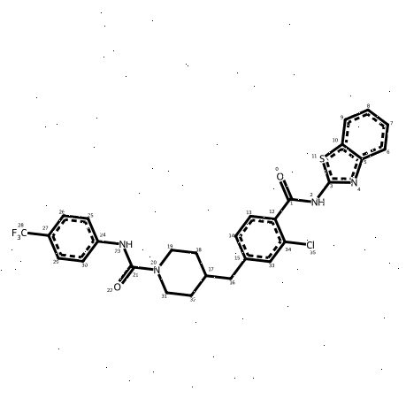 O=C(Nc1nc2ccccc2s1)c1ccc(CC2CCN(C(=O)Nc3ccc(C(F)(F)F)cc3)CC2)cc1Cl